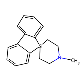 CN1CC[Si]2(CC1)c1ccccc1-c1ccccc12